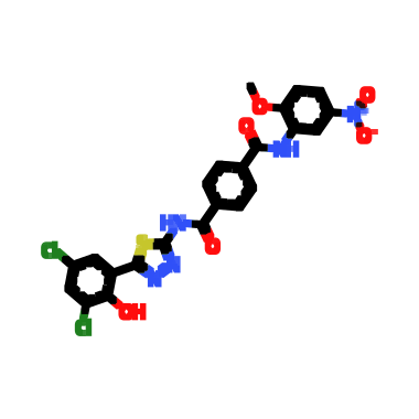 COc1ccc([N+](=O)[O-])cc1NC(=O)c1ccc(C(=O)Nc2nnc(-c3cc(Cl)cc(Cl)c3O)s2)cc1